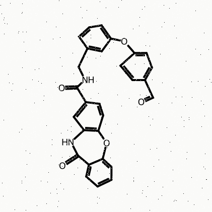 O=Cc1ccc(Oc2cccc(CNC(=O)c3ccc4c(c3)NC(=O)c3ccccc3O4)c2)cc1